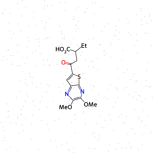 CCC(CC(=O)c1cc2nc(OC)c(OC)nc2s1)C(=O)O